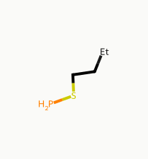 CCCCSP